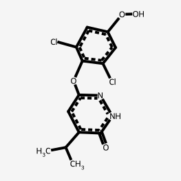 CC(C)c1cc(Oc2c(Cl)cc(OO)cc2Cl)n[nH]c1=O